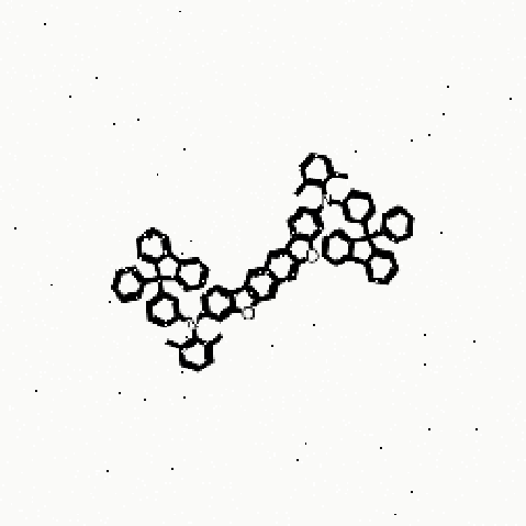 Cc1cccc(C)c1N(c1cccc(C2(c3ccccc3)c3ccccc3-c3ccccc32)c1)c1ccc2c(c1)oc1cc3cc4oc5cc(N(c6cccc(C7(c8ccccc8)c8ccccc8-c8ccccc87)c6)c6c(C)cccc6C)ccc5c4cc3cc12